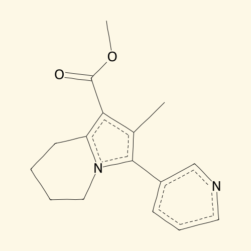 COC(=O)c1c(C)c(-c2cccnc2)n2c1CCCC2